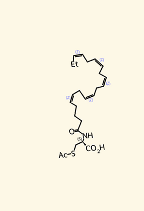 CC/C=C\C/C=C\C/C=C\C/C=C\C/C=C\CCCC(=O)N[C@H](CSC(C)=O)C(=O)O